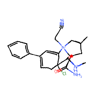 CNC(=O)C1(Cl)CC=C(c2ccccc2)C=C1[N+]1(CC#N)CC(C)C[C@H]1C(N)=O